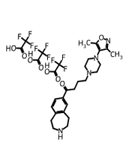 Cc1noc(C)c1N1CCN(CCCC(=O)c2ccc3c(c2)CCNCC3)CC1.O=C(O)C(F)(F)F.O=C(O)C(F)(F)F.O=C(O)C(F)(F)F